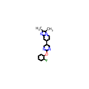 Cc1nc2cc(-c3cnc(Oc4ccccc4F)nc3)ccn2c1C